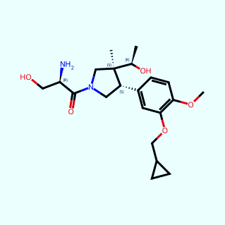 COc1ccc([C@@H]2CN(C(=O)[C@H](N)CO)C[C@@]2(C)[C@@H](C)O)cc1OCC1CC1